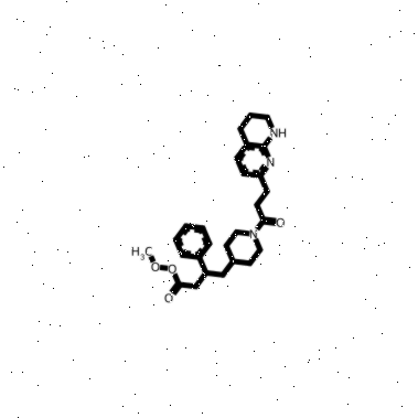 COOC(=O)CC(CC1CCN(C(=O)CCc2ccc3c(n2)NCCC3)CC1)c1ccccc1